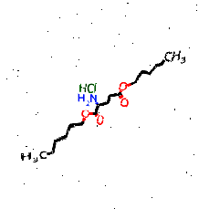 CCCCCCOC(=O)CCC(N)C(=O)OCCCCCC.Cl